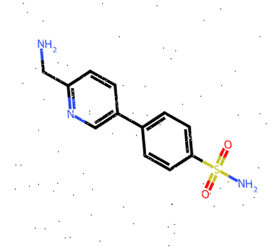 NCc1ccc(-c2ccc(S(N)(=O)=O)cc2)cn1